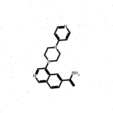 C=C(N)c1ccc2cncc(N3CCN(c4ccncc4)CC3)c2c1